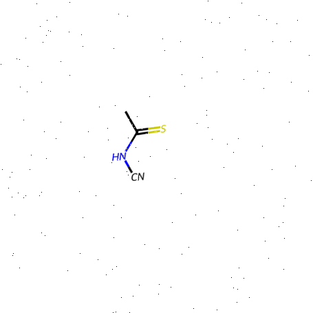 CC(=S)NC#N